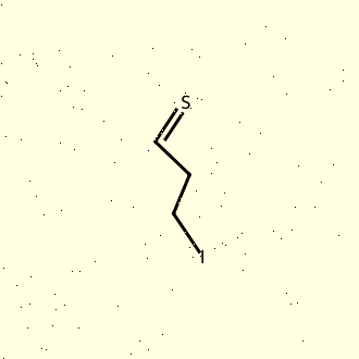 S=CCCI